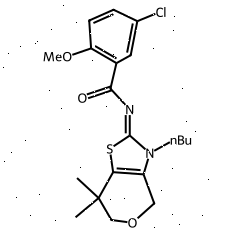 CCCCn1c2c(s/c1=N\C(=O)c1cc(Cl)ccc1OC)C(C)(C)COC2